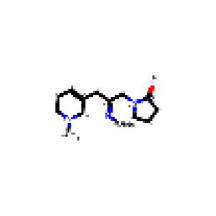 CON=C(CC1=CCCN(C)C1)CN1CCCC1=O